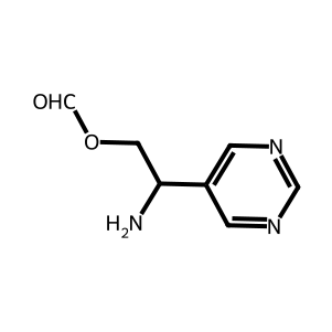 NC(COC=O)c1cncnc1